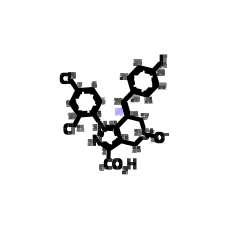 O=C(O)c1nn(-c2ccc(Cl)cc2Cl)c2c1C[S+]([O-])C/C2=C\c1ccc(F)cc1